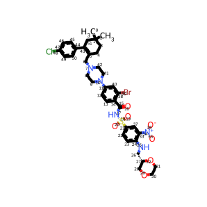 CC1(C)CCC(CN2CCN(c3ccc(C(=O)NS(=O)(=O)c4ccc(NC[C@H]5COCCO5)c([N+](=O)[O-])c4)c(Br)c3)CC2)=C(c2ccc(Cl)cc2)C1